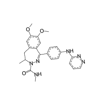 CNC(=O)N1N=C(c2ccc(Nc3cccnn3)cc2)c2cc(OC)c(OC)cc2CC1C